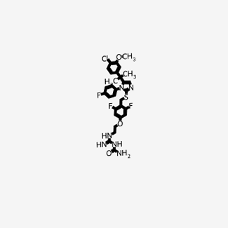 COc1cc(C(C)(C)c2cnc(SCc3c(F)cc(OCCNC(=N)NC(N)=O)cc3F)n2-c2ccc(F)cc2)ccc1Cl